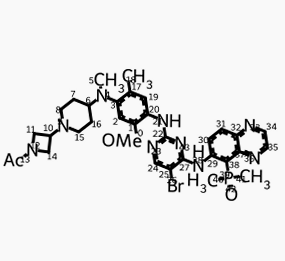 COc1cc(N(C)C2CCN(C3CN(C(C)=O)C3)CC2)c(C)cc1Nc1ncc(Br)c(Nc2ccc3nccnc3c2P(C)(C)=O)n1